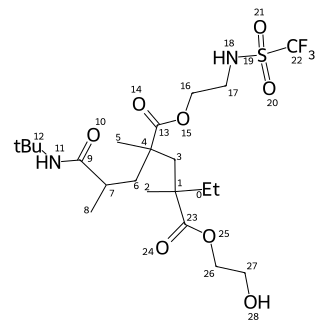 CCC(C)(CC(C)(CC(C)C(=O)NC(C)(C)C)C(=O)OCCNS(=O)(=O)C(F)(F)F)C(=O)OCCO